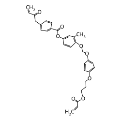 C=CC(=O)Cc1ccc(C(=O)Oc2ccc(OCOc3ccc(OCCCOC(=O)C=C)cc3)c(C)c2)cc1